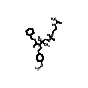 COc1ccc(CO[C@@H](C(=O)OCc2ccccc2)C(C)(C)COS(=O)(=O)CCCNC(C)=O)cc1